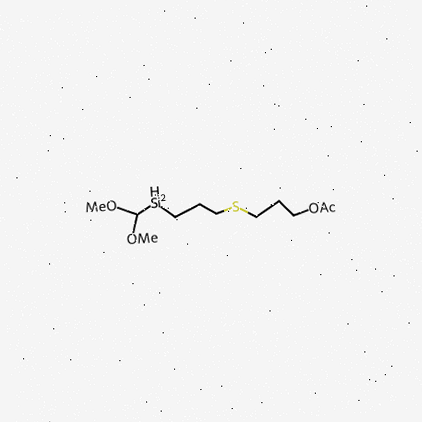 COC(OC)[SiH2]CCCSCCCOC(C)=O